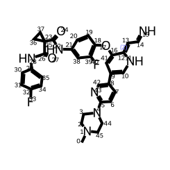 CN1CCN(c2ccc(C3=CN/C(=C\C=N)C(Oc4ccc(NC(=O)C5(C(=O)Nc6ccc(F)cc6)CC5)cc4F)=C3)cn2)CC1